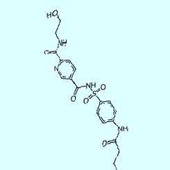 CCCC(=O)Nc1ccc(S(=O)(=O)NC(=O)c2ccc(C(=O)NCCO)nc2)cc1